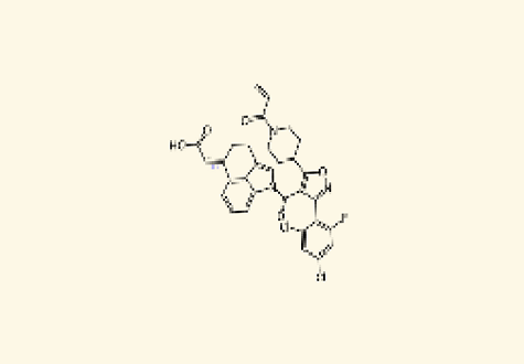 C=CC(=O)N1CCC(c2onc(-c3c(F)cc(Cl)cc3Cl)c2C(=O)n2cc3c4c(cccc42)/C(=C/C(=O)O)CC3)CC1